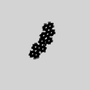 c1ccc2c(-c3c4ccccc4c(-c4cccc5c4sc4cccc(-c6c7ccccc7c(-c7cccc8ccccc78)c7ccccc67)c45)c4ccccc34)cccc2c1